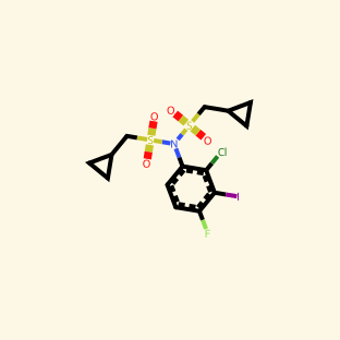 O=S(=O)(CC1CC1)N(c1ccc(F)c(I)c1Cl)S(=O)(=O)CC1CC1